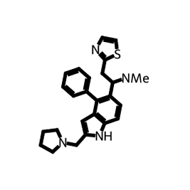 CNC(Cc1nccs1)c1ccc2[nH]c(CN3CCCC3)cc2c1-c1ccccc1